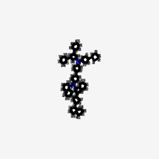 C1=CCCC(c2ccc(N(c3ccc(-c4ccc(N(c5cccc6ccccc56)c5cc(-c6ccc(-c7cccc8ccccc78)cc6)cc6ccccc56)cc4)cc3)c3cc(-c4ccccc4)cc(-c4ccccc4)c3)cc2)=C1